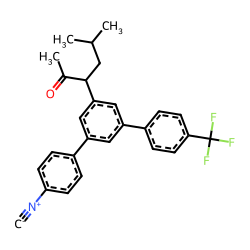 [C-]#[N+]c1ccc(-c2cc(-c3ccc(C(F)(F)F)cc3)cc(C(CC(C)C)C(C)=O)c2)cc1